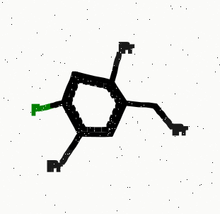 CC(C)Cc1cc(C(C)C)c(F)cc1C(C)C